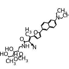 CCN(CC)c1ccc2cc(-c3ccc(/C(C)=C(\C#N)C(=O)NC[C@@H](OC)[C@@H](O)[C@H](O)[C@H](C)O)o3)ccc2c1